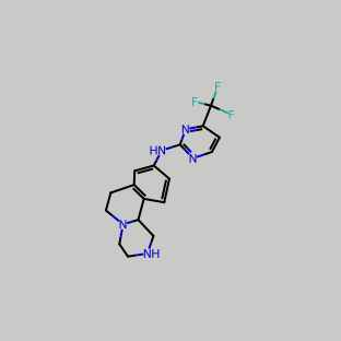 FC(F)(F)c1ccnc(Nc2ccc3c(c2)CCN2CCNCC32)n1